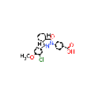 COc1ccc(C2=NN(c3ccc(C(=O)O)cc3)C(=O)[C@@H]3CC=CC[C@H]23)cc1Cl